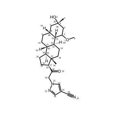 COC1C[C@@](C)(O)C[C@H]2CC[C@@H]3[C@H](CC[C@]4(C)[C@@H](C(=O)Cn5cc(C#N)cn5)CC[C@@H]34)[C@@H]12